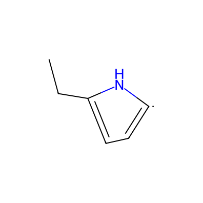 CCc1cc[c][nH]1